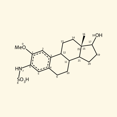 COc1cc2c(cc1NS(=O)(=O)O)CCC1C2CC[C@]2(C)C(O)CCC12